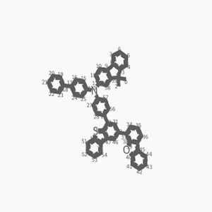 CC1(C)c2ccccc2-c2ccc(N(c3ccc(-c4ccccc4)cc3)c3ccc(-c4cc(-c5cccc6c5oc5ccccc56)cc5c4sc4ccccc45)cc3)cc21